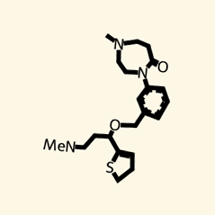 CNCCC(OCc1cccc(N2CCN(C)CCC2=O)c1)C1=CCCS1